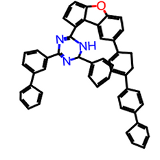 C1=C(c2ccc(-c3ccccc3)cc2)CCC(c2ccc3oc4cccc(C5=NC(c6cccc(-c7ccccc7)c6)=NC(c6ccccc6)N5)c4c3c2)=C1